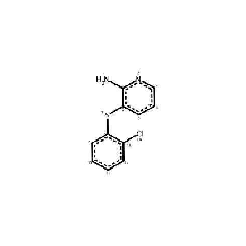 Nc1ncccc1Sc1ccccc1Cl